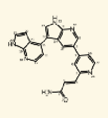 NC(=O)C=Cc1cc(-c2cnc3[nH]cc(-c4ccnc5[nH]ccc45)c3c2)ccn1